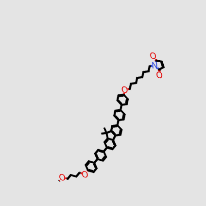 COCCCCOc1ccc(-c2ccc(-c3ccc4c(c3)C(C)(C)c3cc(-c5ccc(-c6ccc(OCCCCCCCCN7C(=O)C=CC7=O)cc6)cc5)ccc3-4)cc2)cc1